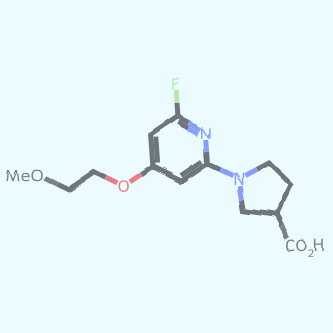 COCCOc1cc(F)nc(N2CCC(C(=O)O)C2)c1